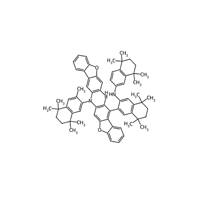 Cc1cc2c(cc1N1c3cc4c(cc3Bc3c1cc1oc5ccccc5c1c3-c1cc3c(cc1Nc1ccc5c(c1)C(C)(C)CCC5(C)C)C(C)(C)CCC3(C)C)oc1ccccc14)C(C)(C)CCC2(C)C